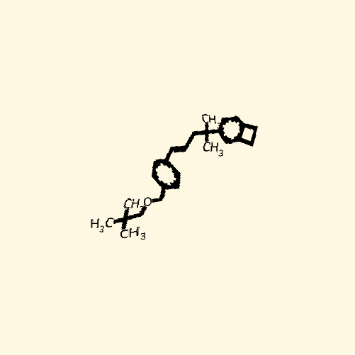 CC(C)(C)COCc1ccc(/C=C/CC(C)(C)c2ccc3c(c2)CC3)cc1